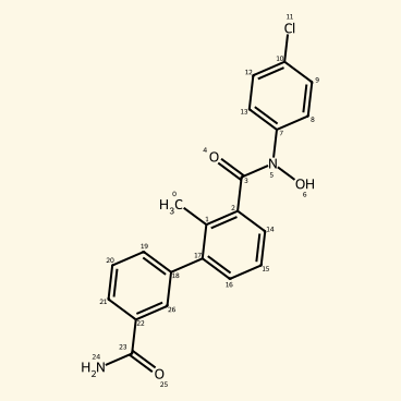 Cc1c(C(=O)N(O)c2ccc(Cl)cc2)cccc1-c1cccc(C(N)=O)c1